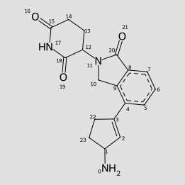 NC1C=C(c2cccc3c2CN(C2CCC(=O)NC2=O)C3=O)CC1